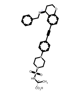 C[C@@H](NS(=O)(=O)N1CCN(c2ccc(C#Cc3ccc4c(c3)/C(=N\Cc3ccccc3)CCO4)cc2)CC1)C(=O)O